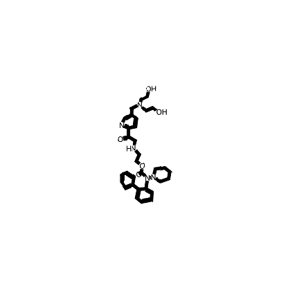 O=C(CNCCOC(=O)N(c1ccccc1-c1ccccc1)N1CC[CH]CC1)c1ccc(CN(CCO)CCO)cn1